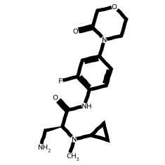 CN(C1CC1)[C@@H](CN)C(=O)Nc1ccc(N2CCOCC2=O)cc1F